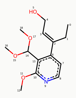 CCC(=CCO)c1ccnc(OC)c1C(OC)OC